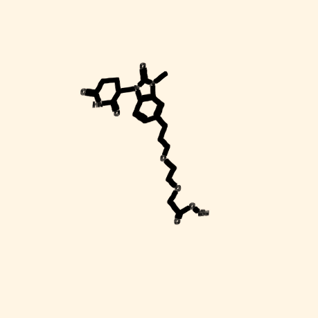 Cn1c(=O)n(C2CCC(=O)NC2=O)c2ccc(CCCOCCOCC(=O)OC(C)(C)C)cc21